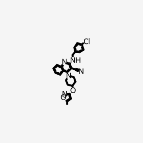 Cc1cc(OC2CCN(c3c(C#N)c(NCc4ccc(Cl)cc4)nc4ccccc34)CC2)no1